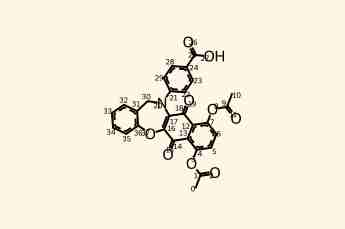 CC(=O)Oc1ccc(OC(C)=O)c2c1C(=O)C1=C(C2=O)N(c2ccc(C(=O)O)cc2)Cc2ccccc2O1